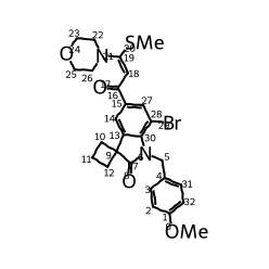 COc1ccc(CN2C(=O)C3(CCC3)c3cc(C(=O)C=C(SC)N4CCOCC4)cc(Br)c32)cc1